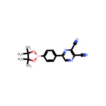 CC1(C)OB(c2ccc(-c3cnc(C#N)c(C#N)n3)cc2)OC1(C)C